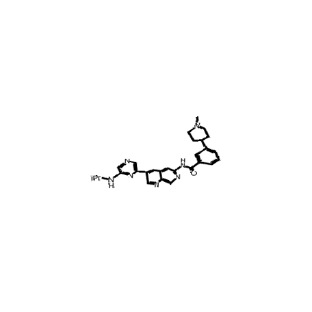 CC(C)Nc1cncc(-c2cnc3cnc(NC(=O)c4cccc(C5CCN(C)CC5)c4)cc3c2)n1